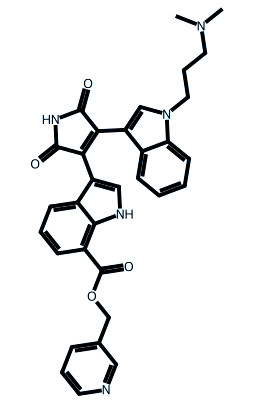 CN(C)CCCn1cc(C2=C(c3c[nH]c4c(C(=O)OCc5cccnc5)cccc34)C(=O)NC2=O)c2ccccc21